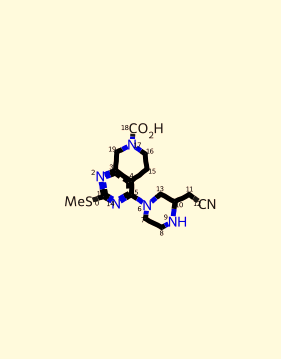 CSc1nc2c(c(N3CCNC(CC#N)C3)n1)CCN(C(=O)O)C2